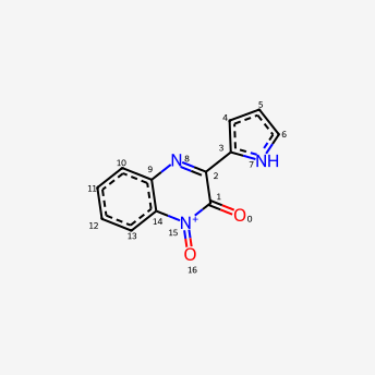 O=C1C(c2ccc[nH]2)=Nc2ccccc2[N+]1=O